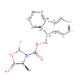 CC1OC(=O)[C@H](C)N1C(=O)OCC1c2ccccc2-c2ccccc21